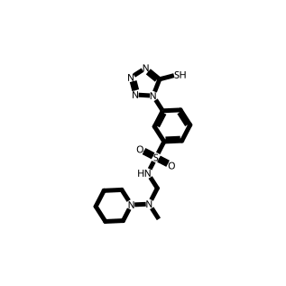 CN(CNS(=O)(=O)c1cccc(-n2nnnc2S)c1)N1CCCCC1